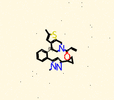 C=CC(=O)N1Cc2sc(C)cc2[C@@H](c2ccccc2-c2cc(C3CC3)nn2C)C1